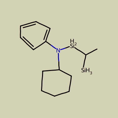 CC([SiH3])[SiH2]N(c1ccccc1)C1CCCCC1